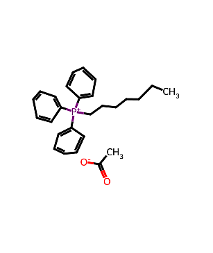 CC(=O)[O-].CCCCCCC[P+](c1ccccc1)(c1ccccc1)c1ccccc1